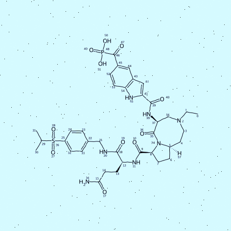 CCN1CC[C@H]2CC[C@@H](C(=O)N[C@@H](CCC(N)=O)C(=O)NCc3ccc(S(=O)(=O)C(C)C)cc3)N2C(=O)[C@@H](NC(=O)c2cc3cc(C(=O)P(=O)(O)O)ccc3[nH]2)C1